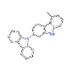 Cc1cccc2[nH]c3cc(-n4c5ccccc5c5ccccc54)ccc3c12